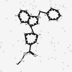 CCOC(=O)c1ccc(-c2cn(Cc3ccccc3)c3ccccc23)cc1